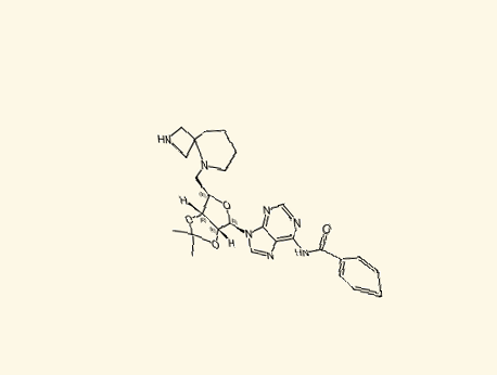 CC1(C)O[C@@H]2[C@H](O1)[C@@H](CN1CCCCC13CNC3)O[C@H]2n1cnc2c(NC(=O)c3ccccc3)ncnc21